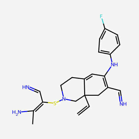 C=CC12CC(C=N)=C(Nc3ccc(F)cc3)C=C1CCN(S/C(C=N)=C(\C)N)C2